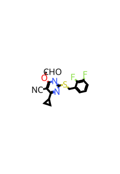 N#Cc1c(OC=O)nc(SCc2cccc(F)c2F)nc1C1CC1